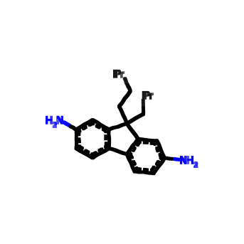 CC(C)CCC1(CC(C)C)c2cc(N)ccc2-c2ccc(N)cc21